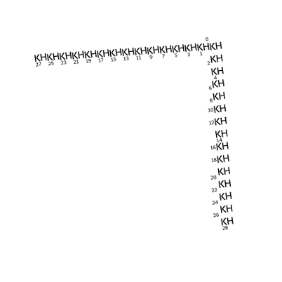 [KH].[KH].[KH].[KH].[KH].[KH].[KH].[KH].[KH].[KH].[KH].[KH].[KH].[KH].[KH].[KH].[KH].[KH].[KH].[KH].[KH].[KH].[KH].[KH].[KH].[KH].[KH].[KH].[KH]